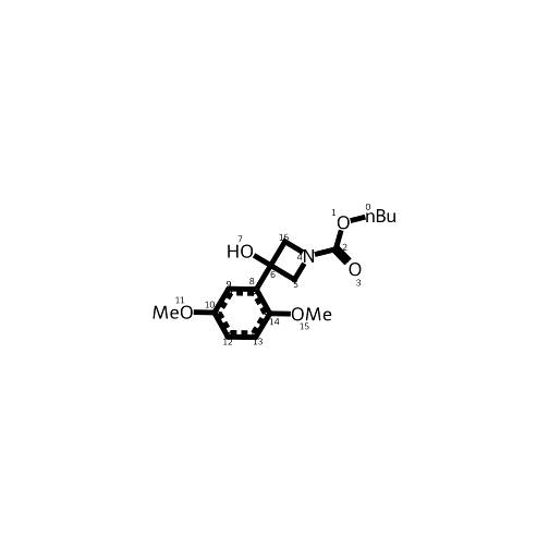 CCCCOC(=O)N1CC(O)(c2cc(OC)ccc2OC)C1